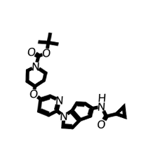 CC(C)(C)OC(=O)N1CCC(Oc2ccc(-n3ccc4cc(NC(=O)C5CC5)ccc43)nc2)CC1